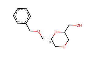 OCC1COC[C@H](COCc2ccccc2)O1